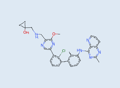 COc1nc(-c2cccc(-c3cccc(Nc4nc(C)nc5cccnc45)c3C)c2Cl)cnc1CNCC1(O)CC1